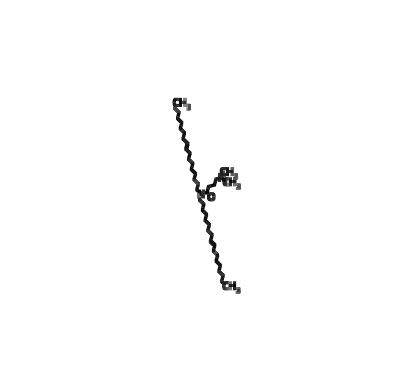 CCCCCCCCC=CCCCCCCCCN(CCCCCCCCC=CCCCCCCCC)C(=O)CCCN(C)C